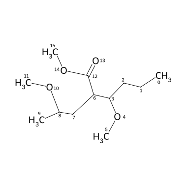 CCCC(OC)C(CC(C)OC)C(=O)OC